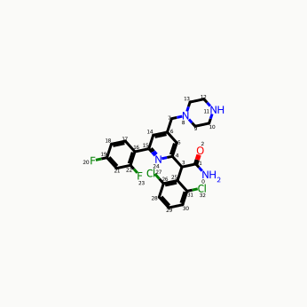 NC(=O)C(c1cc(CN2CCNCC2)cc(-c2ccc(F)cc2F)n1)c1c(Cl)cccc1Cl